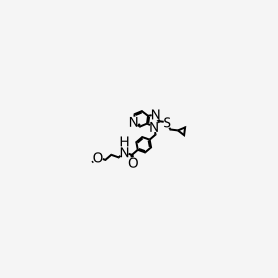 COCCCNC(=O)c1ccc(Cn2c(SCC3CC3)nc3ccncc32)cc1